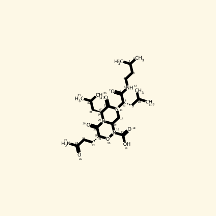 CC(C)CCNC(=O)[C@H](CC(C)C)N1CC2N(C(=O)O)O[C@H](CCC(N)=O)C(=O)N2[C@@H](CC(C)C)C1=O